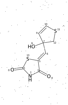 O=C1NC(=O)C(=CC2(O)C=CSC2)S1